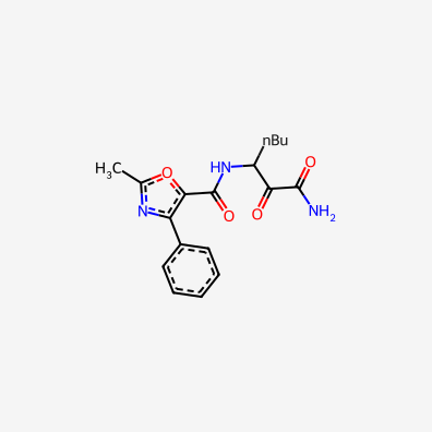 CCCCC(NC(=O)c1oc(C)nc1-c1ccccc1)C(=O)C(N)=O